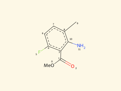 COC(=O)c1c(F)ccc(C)c1N